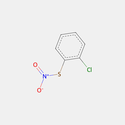 O=[N+]([O-])Sc1ccccc1Cl